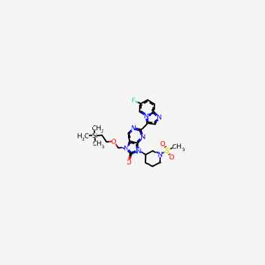 C[Si](C)(C)CCOCn1c(=O)n(C2CCCN(S(C)(=O)=O)C2)c2nc(-c3cnc4ccc(F)cn34)ncc21